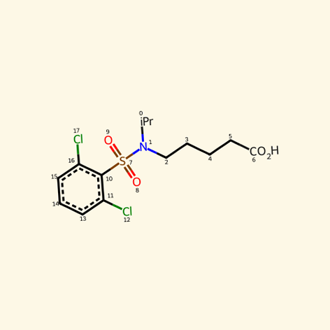 CC(C)N(CCCCC(=O)O)S(=O)(=O)c1c(Cl)cccc1Cl